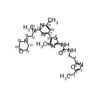 CCc1cnc(CCNC(=O)Nc2nc(C)c(-c3cc(C)nc(N(C)CCN4CCOCC4)n3)s2)o1